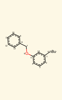 CCC[CH]c1cccc(OCc2ccccc2)c1